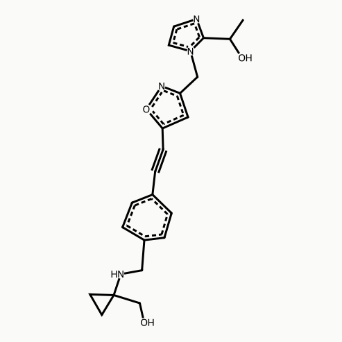 CC(O)c1nccn1Cc1cc(C#Cc2ccc(CNC3(CO)CC3)cc2)on1